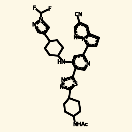 CC(=O)NC1CCC(c2nnc(-c3cnc(-c4ccc5cc(C#N)cnn45)cc3NC3CCC(c4cnn(C(F)F)c4)CC3)s2)CC1